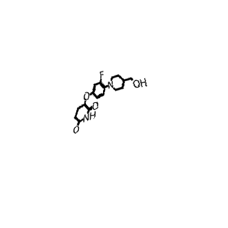 O=C1CCC(Oc2ccc(N3CCC(CO)CC3)c(F)c2)C(=O)N1